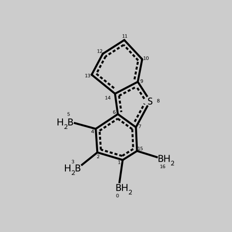 Bc1c(B)c(B)c2c(sc3ccccc32)c1B